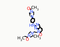 C=CC(=O)N1CCN(CCn2c(=O)ccc3cnc(Nc4ccc(N5CCN(C(C)=O)CC5)cc4)nc32)[C@@H](C)C1